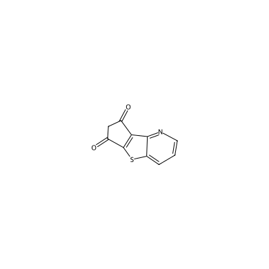 O=C1CC(=O)c2c1sc1cccnc21